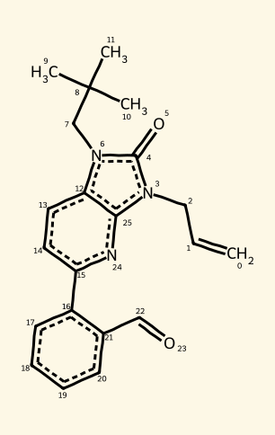 C=CCn1c(=O)n(CC(C)(C)C)c2ccc(-c3ccccc3C=O)nc21